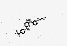 COCCOc1cccc(-n2nnc3cnc(Nc4ccc(C(=O)N(C)C)cc4)nc32)c1